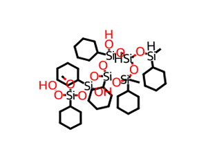 CO[Si](OO)(O[Si](O)(O[Si]1(C2CCCCC2)O[Si](C)(C2CCCCC2)O[SiH](O[SiH](C)C2CCCCC2)O[Si](O)(C2CCCCC2)O1)C1CCCCC1)C1CCCCC1